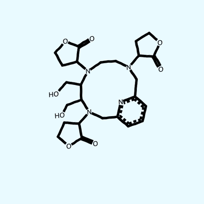 O=C1OCCC1N1CCN(C2CCOC2=O)C(CO)C(CO)N(C2CCOC2=O)Cc2cccc(n2)C1